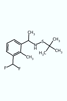 Cc1c(C(F)F)cccc1C(C)NSC(C)(C)C